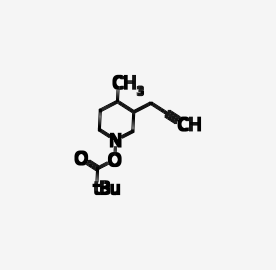 C#CCC1CN(OC(=O)C(C)(C)C)CCC1C